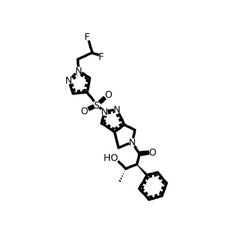 C[C@H](O)[C@@H](C(=O)N1Cc2cn(S(=O)(=O)c3cnn(CC(F)F)c3)nc2C1)c1ccccc1